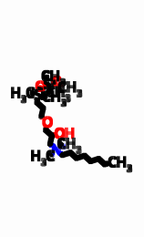 CCCCCCCC[N+](C)(C)CC(O)COCCC[Si](C)(C)O[Si](C)(C)OC